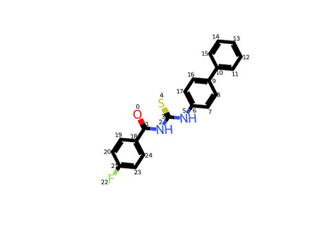 O=C(NC(=S)Nc1ccc(-c2ccccc2)cc1)c1ccc(F)cc1